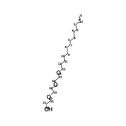 CSCCCCCCCCCCCCOCCOCCOCCO